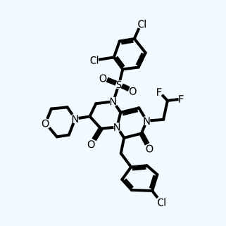 O=C1C(Cc2ccc(Cl)cc2)N2C(=O)C(N3CCOCC3)CN(S(=O)(=O)c3ccc(Cl)cc3Cl)C2=CN1CC(F)F